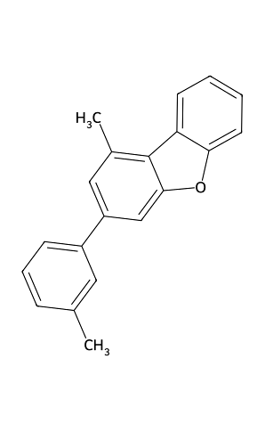 Cc1cccc(-c2cc(C)c3c(c2)oc2ccccc23)c1